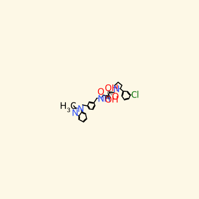 Cc1nc2ccccc2n1Cc1cccc(CNC(=O)[C@H](O)[C@@H](O)C(=O)N2CCCC2c2cccc(Cl)c2)c1